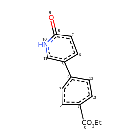 CCOC(=O)c1ccc(-c2ccc(=O)[nH]c2)cc1